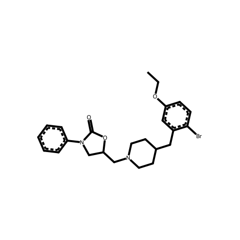 CCOc1ccc(Br)c(CC2CCN(CC3CN(c4ccccc4)C(=O)O3)CC2)c1